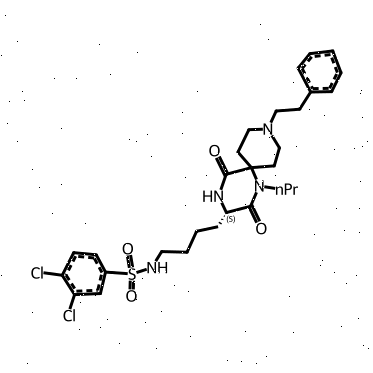 CCCN1C(=O)[C@H](CCCCNS(=O)(=O)c2ccc(Cl)c(Cl)c2)NC(=O)C12CCN(CCc1ccccc1)CC2